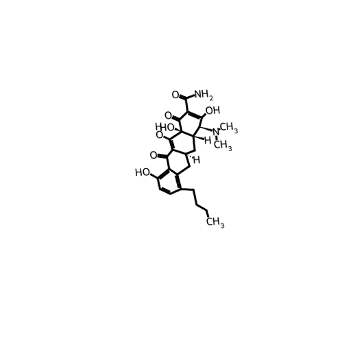 CCCCc1ccc(O)c2c1C[C@@H]1C[C@H]3[C@H](N(C)C)C(O)=C(C(N)=O)C(=O)[C@@]3(O)C(O)=C1C2=O